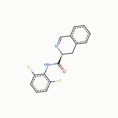 O=C(Nc1c(F)cccc1F)[C@@H]1Cc2ccccc2C=N1